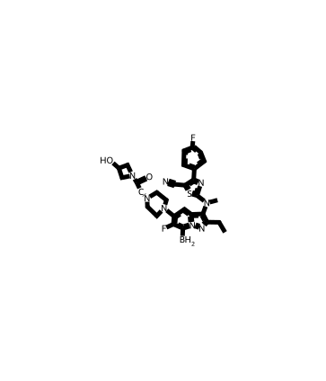 Bc1c(F)c(N2CCN(CC(=O)N3CC(O)C3)CC2)cc2c(N(C)c3nc(-c4ccc(F)cc4)c(C#N)s3)c(CC)nn12